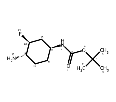 CC(C)(C)OC(=O)N[C@H]1CC[C@H](N)[C@@H](F)C1